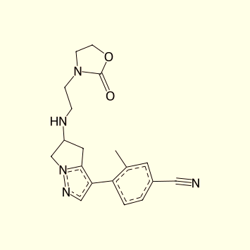 Cc1cc(C#N)ccc1-c1cnn2c1CC(NCCN1CCOC1=O)C2